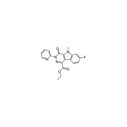 CCOC(=O)c1nn(-c2ccccn2)c(=O)c2c1c1ccc(F)cc1n2C